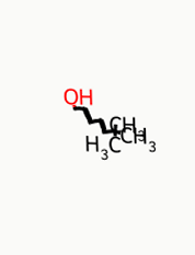 CC(C)(C)C=C/C=C/CO